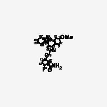 COc1ccc(-c2nc(COc3ccc(F)c(C(N)=O)c3F)sc2-n2nnc3ccccc32)cc1